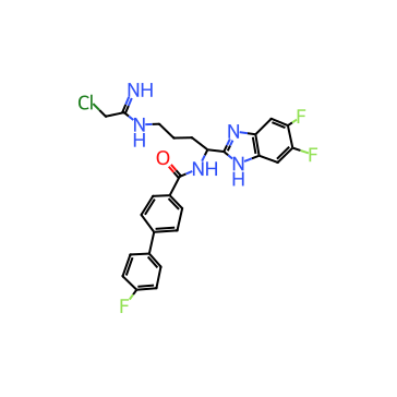 N=C(CCl)NCCCC(NC(=O)c1ccc(-c2ccc(F)cc2)cc1)c1nc2cc(F)c(F)cc2[nH]1